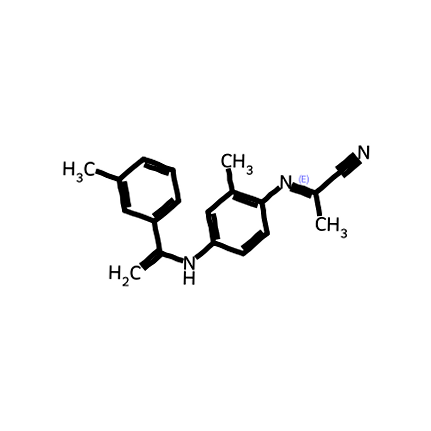 C=C(Nc1ccc(/N=C(\C)C#N)c(C)c1)c1cccc(C)c1